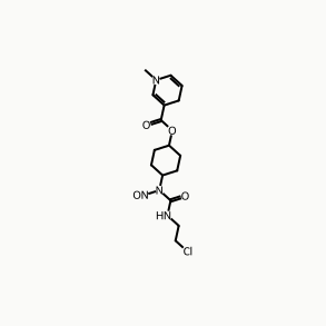 CN1C=CCC(C(=O)OC2CCC(N(N=O)C(=O)NCCCl)CC2)=C1